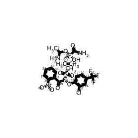 CC.CC(N)OP(=O)(O)C(N)=O.CS(=O)(=O)N(Oc1ccc(C(F)(F)F)cc1Cl)C(=O)c1ccccc1[N+](=O)[O-]